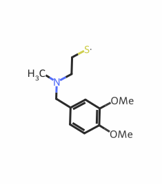 COc1ccc(CN(C)CC[S])cc1OC